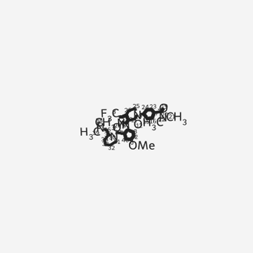 COc1ccc(-n2nc(C(F)(F)F)c3c2C(=O)N(c2ccc(C(=O)N(C)C)cc2)CC3)c(C(=O)N2CCCCC2CN(C)C)c1